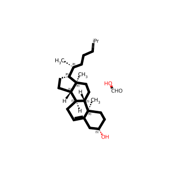 CC(C)CCC[C@@H](C)[C@H]1CC[C@H]2[C@@H]3CC=C4C[C@@H](O)CC[C@]4(C)[C@H]3CC[C@]12C.O=CO